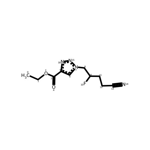 CCOC(=O)c1cn(CC(F)CCC#N)nn1